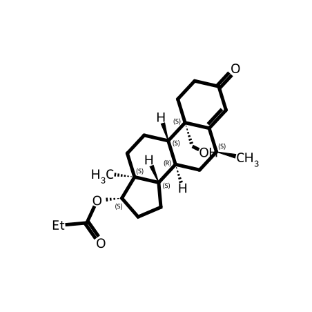 CCC(=O)O[C@H]1CC[C@H]2[C@@H]3C[C@H](C)C4=CC(=O)CC[C@]4(CO)[C@H]3CC[C@]12C